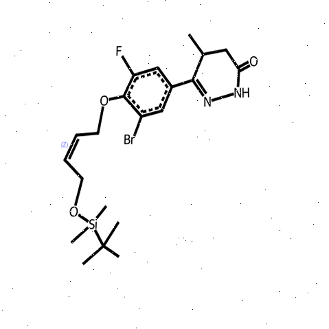 CC1CC(=O)NN=C1c1cc(F)c(OC/C=C\CO[Si](C)(C)C(C)(C)C)c(Br)c1